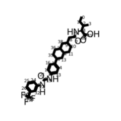 CCC(C)[C@H](NC(=O)CC1CCC2CC(c3ccc(NC(=O)Nc4cccc(C(F)(F)F)c4)cc3)CCC2C1)C(=O)O